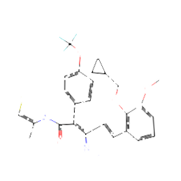 COc1cccc(/C=C/C(N)=C(/C(=O)N/C(C)=C\S)c2ccc(OC(F)(F)F)cc2)c1OCC1CC1